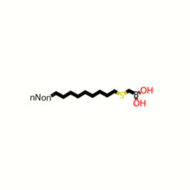 CCCCCCCCCCCCCCCCCCSCB(O)O